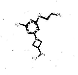 CCCNc1cc(N2CC(NC)C2)nc(N)n1